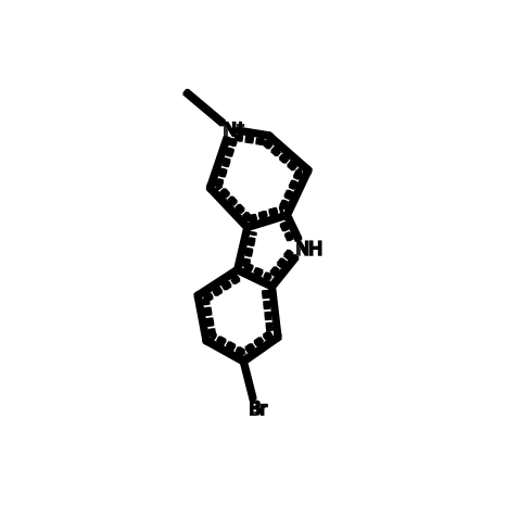 C[n+]1ccc2[nH]c3cc(Br)ccc3c2c1